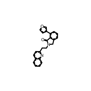 O=C1c2c(cccc2-c2ccoc2)CN1CCc1ccc2ccccc2n1